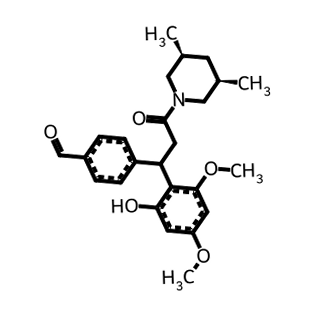 COc1cc(O)c(C(CC(=O)N2C[C@H](C)C[C@H](C)C2)c2ccc(C=O)cc2)c(OC)c1